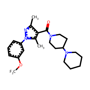 Cc1nn(-c2cccc(OC(F)(F)F)c2)c(C)c1C(=O)N1CCC(N2CCCCC2)CC1